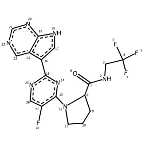 O=C(NCC(F)(F)F)C1CCCN1c1nc(-c2c[nH]c3ncncc23)ncc1F